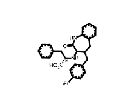 CC(C)c1ccc(CC2Cc3ccccc3NC(=O)C2N[C@@H](Cc2ccccc2)C(=O)O)cc1